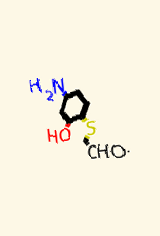 NC1CCC(SC[C]=O)C(O)C1